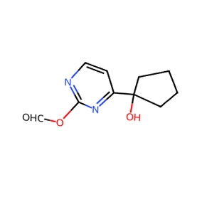 O=COc1nccc(C2(O)CCCC2)n1